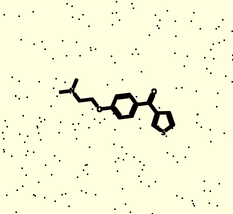 CN(C)CCOc1ccc(C(=O)c2ccsc2)cc1